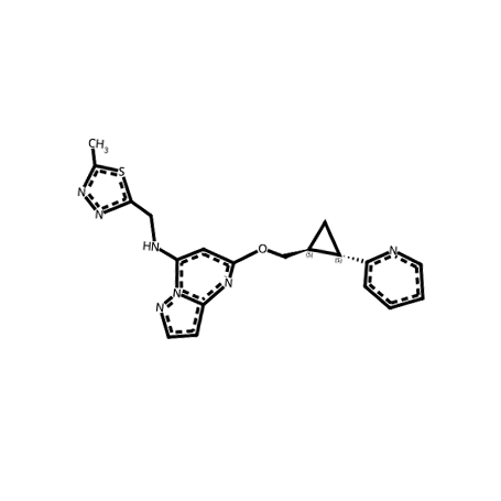 Cc1nnc(CNc2cc(OC[C@H]3C[C@@H]3c3ccccn3)nc3ccnn23)s1